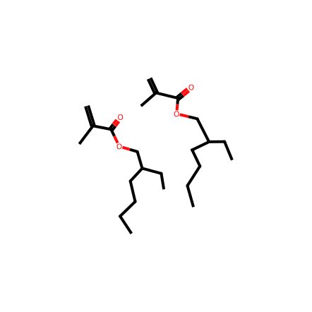 C=C(C)C(=O)OCC(CC)CCCC.C=C(C)C(=O)OCC(CC)CCCC